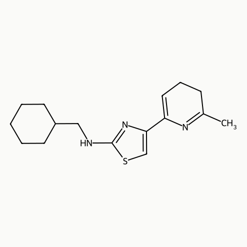 CC1=NC(c2csc(NCC3CCCCC3)n2)=CCC1